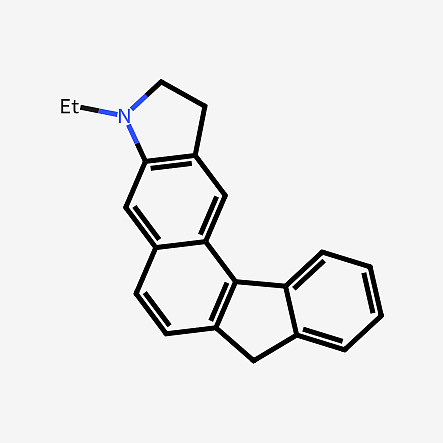 CCN1CCc2cc3c4c(ccc3cc21)Cc1ccccc1-4